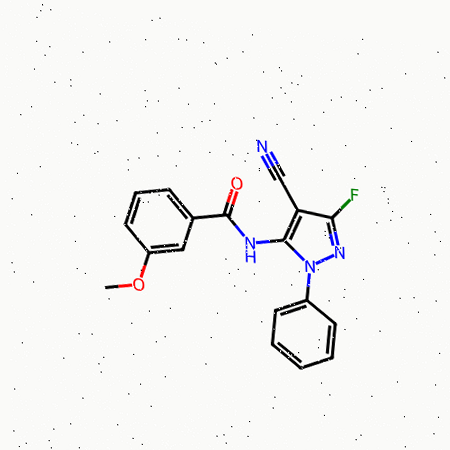 COc1cccc(C(=O)Nc2c(C#N)c(F)nn2-c2ccccc2)c1